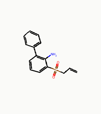 C=CCS(=O)(=O)c1cccc(-c2ccccc2)c1N